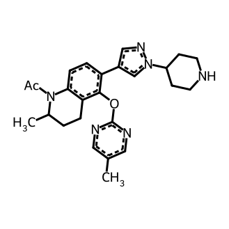 CC(=O)N1c2ccc(-c3cnn(C4CCNCC4)c3)c(Oc3ncc(C)cn3)c2CCC1C